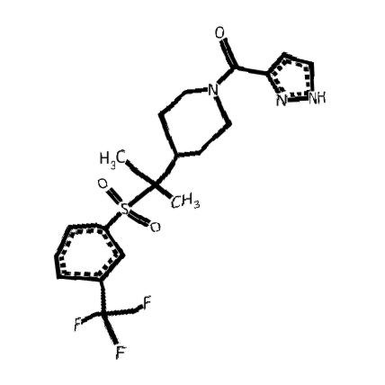 CC(C)(C1CCN(C(=O)c2cc[nH]n2)CC1)S(=O)(=O)c1cccc(C(F)(F)F)c1